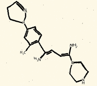 Cc1cc(N2CCC=N2)ccc1/C(N)=C/C=C(\N)N1CCNCC1